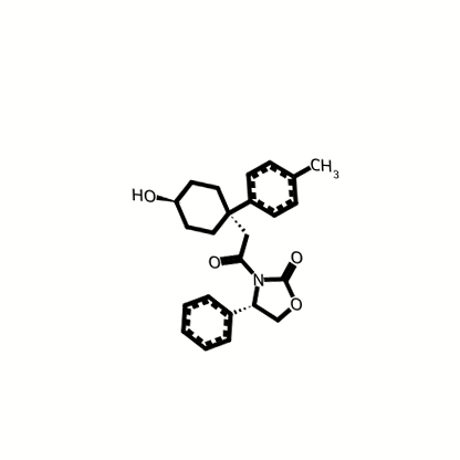 Cc1ccc([C@]2(CC(=O)N3C(=O)OC[C@@H]3c3ccccc3)CC[C@H](O)CC2)cc1